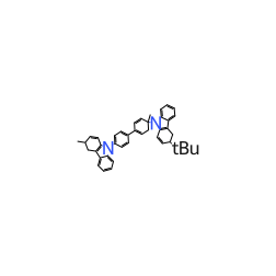 CC1C=Cc2c(c3ccccc3n2-c2ccc(C3=CCC(C)(n4c5c(c6ccccc64)CC(C(C)(C)C)C=C5)C=C3)cc2)C1